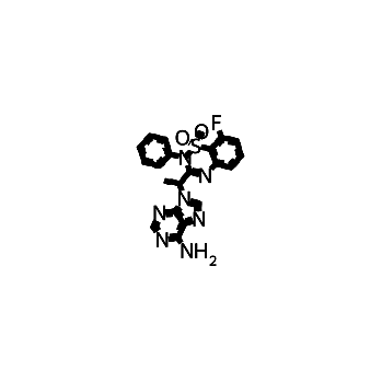 CC(C1=Nc2cccc(F)c2S(=O)(=O)N1c1ccccc1)n1cnc2c(N)ncnc21